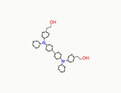 OCCc1ccc(N(c2ccccc2)c2ccc(-c3ccc(N(c4ccccc4)c4ccc(CCO)cc4)cc3)cc2)cc1